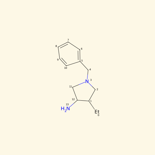 CCC1CN(Cc2ccccc2)CC1N